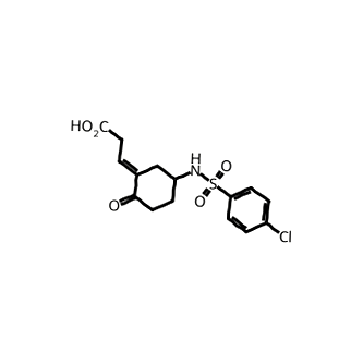 O=C(O)CC=C1CC(NS(=O)(=O)c2ccc(Cl)cc2)CCC1=O